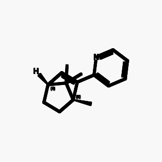 CC1(C)[C@H]2C=C(c3ccccn3)[C@]1(C)CC2